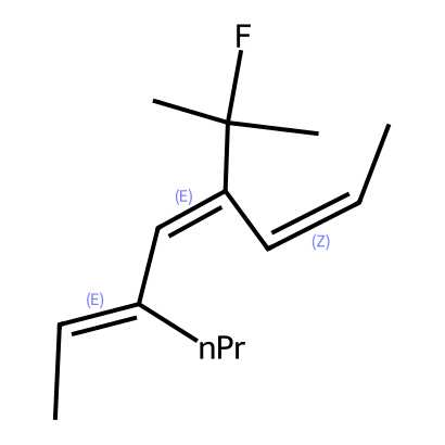 C\C=C/C(=C\C(=C\C)CCC)C(C)(C)F